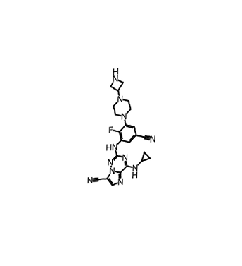 N#Cc1cc(Nc2nc(NC3CC3)c3ncc(C#N)n3n2)c(F)c(N2CCN(C3CNC3)CC2)c1